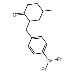 CCN(CC)c1ccc(CC2CC(C)CCC2=O)cc1